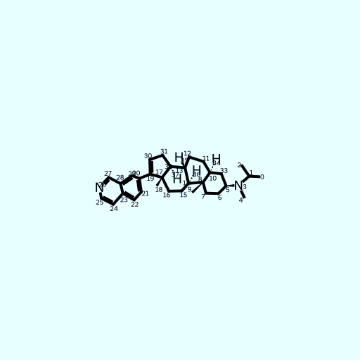 CC(C)N(C)[C@H]1CC[C@@]2(C)[C@@H](CC[C@@H]3[C@@H]2CC[C@]2(C)C(c4ccc5ccncc5c4)=CC[C@@H]32)C1